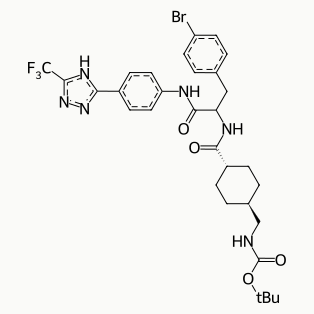 CC(C)(C)OC(=O)NC[C@H]1CC[C@H](C(=O)NC(Cc2ccc(Br)cc2)C(=O)Nc2ccc(-c3nnc(C(F)(F)F)[nH]3)cc2)CC1